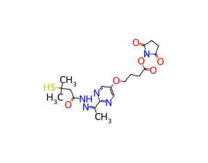 C/C(=N/NC(=O)CC(C)(C)S)c1ncc(OCCCC(=O)ON2C(=O)CCC2=O)cn1